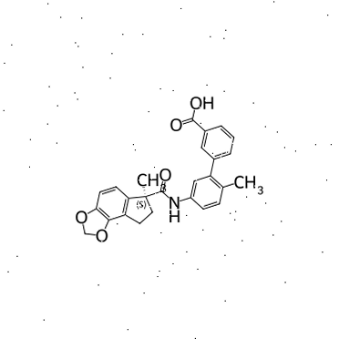 Cc1ccc(NC(=O)[C@@]2(C)CCc3c2ccc2c3OCO2)cc1-c1cccc(C(=O)O)c1